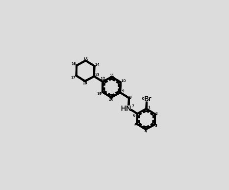 Brc1ccccc1NCc1ccc(C2CCCCC2)cc1